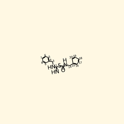 N=C(NCc1ccccc1)SC(=O)NCc1ccccc1